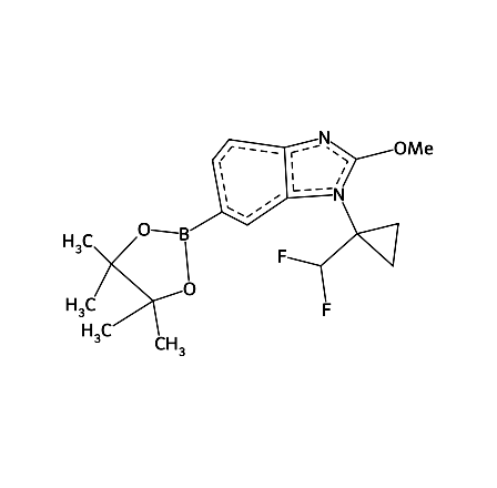 COc1nc2ccc(B3OC(C)(C)C(C)(C)O3)cc2n1C1(C(F)F)CC1